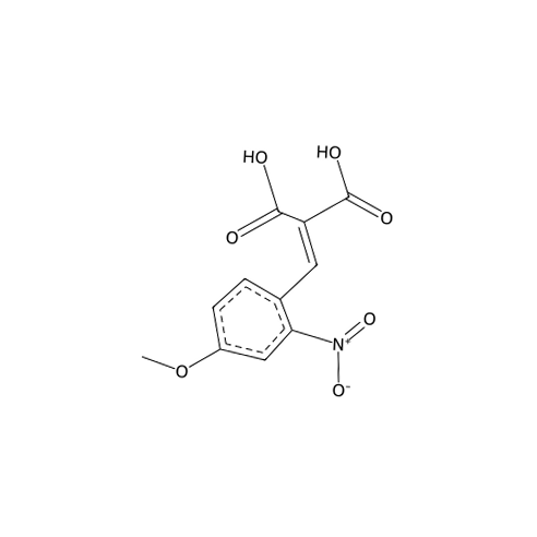 COc1ccc(C=C(C(=O)O)C(=O)O)c([N+](=O)[O-])c1